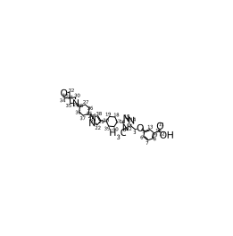 Cn1c(COc2cccc(C(=O)O)c2)nnc1[C@H]1CC[C@H](c2cnn([C@H]3CC[C@H](N4CC5(COC5)C4)CC3)c2)CC1